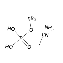 CC#N.CCCCOP(=O)(O)O.N